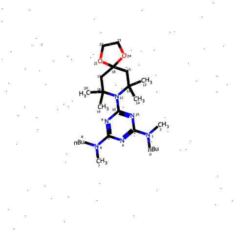 CCCCN(C)c1nc(N(C)CCCC)nc(N2C(C)(C)CC3(CC2(C)C)OCCO3)n1